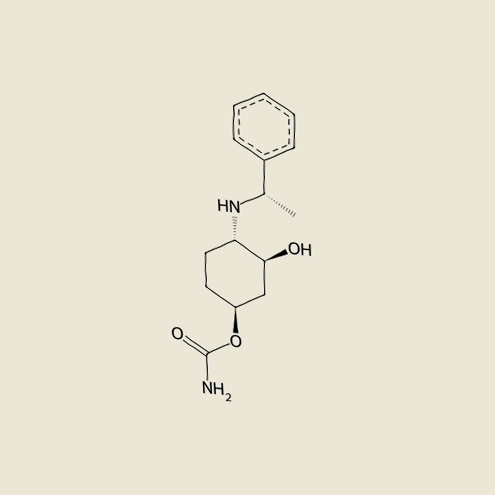 C[C@H](N[C@H]1CC[C@H](OC(N)=O)C[C@@H]1O)c1ccccc1